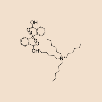 CCCCCC[N+](CCCCCC)(CCCCCC)CCCCCC.O=C(O)c1ccccc1S(=O)(=O)c1ccccc1C(=O)O